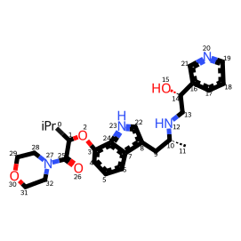 CC(C)C(Oc1cccc2c(C[C@@H](C)NC[C@H](O)c3cccnc3)c[nH]c12)C(=O)N1CCOCC1